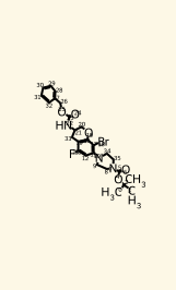 CC(C)(C)OC(=O)N1CCN(c2cc(F)c3c(c2Br)OCC(NC(=O)OCc2ccccc2)C3)CC1